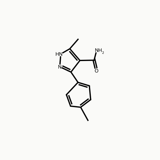 Cc1ccc(-c2n[nH]c(C)c2C(N)=O)cc1